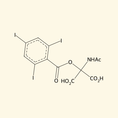 CC(=O)NC(OC(=O)c1c(I)cc(I)cc1I)(C(=O)O)C(=O)O